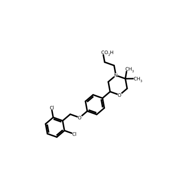 CC1(C)COC(c2ccc(OCc3c(Cl)cccc3Cl)cc2)CN1CCC(=O)O